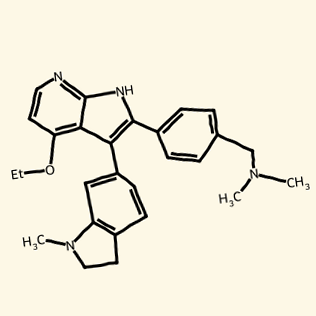 CCOc1ccnc2[nH]c(-c3ccc(CN(C)C)cc3)c(-c3ccc4c(c3)N(C)CC4)c12